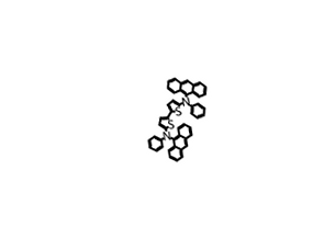 c1ccc(N(c2ccc(-c3ccc(N(c4ccccc4)c4c5ccccc5cc5ccccc45)s3)s2)c2c3ccccc3cc3ccccc23)cc1